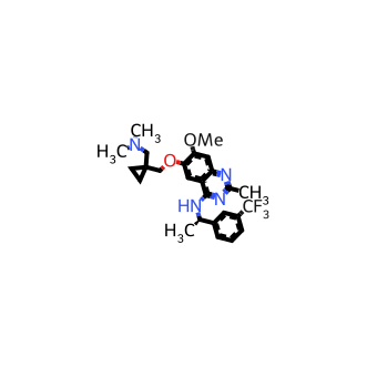 COc1cc2nc(C)nc(N[C@H](C)c3cccc(C(F)(F)F)c3)c2cc1OCC1(CN(C)C)CC1